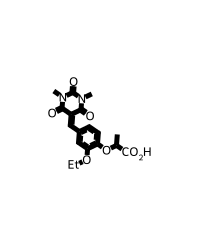 CCOc1cc(C=C2C(=O)N(C)C(=O)N(C)C2=O)ccc1OC(C)C(=O)O